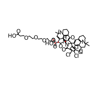 CCC1CC(C)(C)N2CCCc3c4c(cc1c32)C1(c2cc3c5c(c2O4)CCCN5C(C)(C)C=C3CS(=O)(=O)O)c2c(Cl)c(Cl)c(Cl)c(Cl)c2C(=O)N1NC(=O)CCOCCOCCOCCOCCC(=O)O